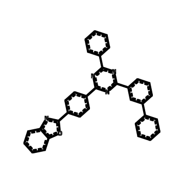 c1ccc(-c2cccc(-c3nc(-c4ccccc4)nc(-c4ccc(-c5nc6ccccc6o5)cc4)n3)c2)cc1